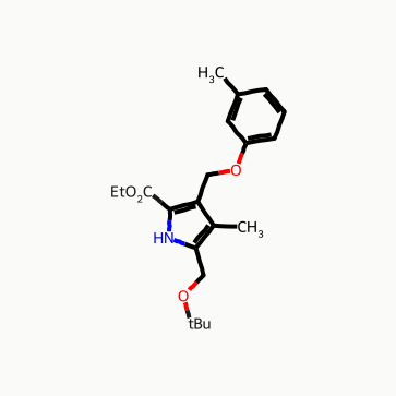 CCOC(=O)c1[nH]c(COC(C)(C)C)c(C)c1COc1cccc(C)c1